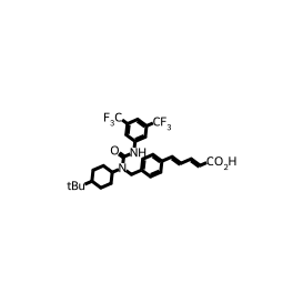 CC(C)(C)C1CCC(N(Cc2ccc(/C=C/C=C/C(=O)O)cc2)C(=O)Nc2cc(C(F)(F)F)cc(C(F)(F)F)c2)CC1